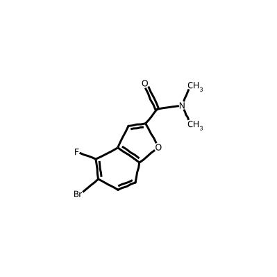 CN(C)C(=O)c1cc2c(F)c(Br)ccc2o1